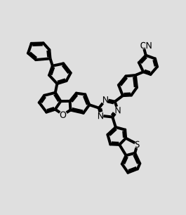 N#Cc1cccc(-c2ccc(-c3nc(-c4ccc5c(c4)oc4cccc(-c6cccc(-c7ccccc7)c6)c45)nc(-c4ccc5c(c4)sc4ccccc45)n3)cc2)c1